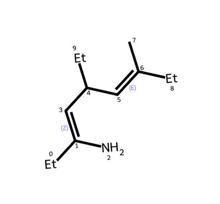 CC/C(N)=C/C(/C=C(\C)CC)CC